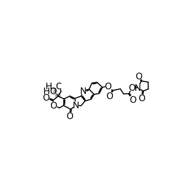 CC[C@@]1(O)C(=O)OCc2c1cc1n(c2=O)Cc2cc3cc(OC(=O)CCC(=O)ON4C(=O)CCC4=O)ccc3nc2-1